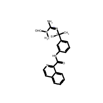 CC[C@](C)(/N=C(/N)N(C)C=O)c1cccc(NC(=O)c2nccc3ccccc23)c1